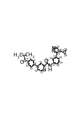 CC(C)[S+]([O-])c1ccc(-c2ccnc(C(=O)Nc3cccc(-c4nncn4C4CC4)c3)c2)cc1